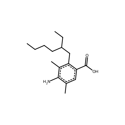 CCCCC(CC)Cc1c(C(=O)O)cc(C)c(N)c1C